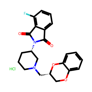 Cl.O=C1c2cccc(F)c2C(=O)N1[C@H]1CCCN(C[C@H]2COc3ccccc3O2)C1